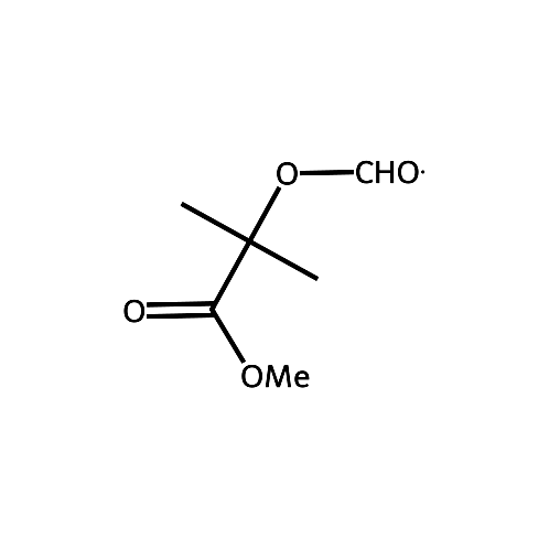 COC(=O)C(C)(C)O[C]=O